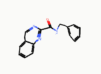 O=C(NCc1ccccc1)c1ncc2ccccc2n1